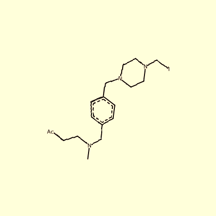 CC(=O)CCN(C)Cc1ccc(CN2CCN(CI)CC2)cc1